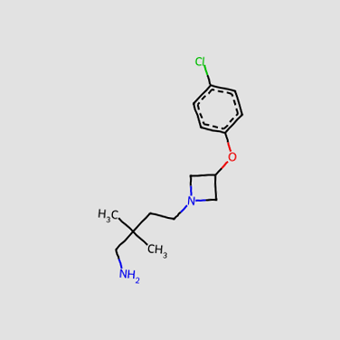 CC(C)(CN)CCN1CC(Oc2ccc(Cl)cc2)C1